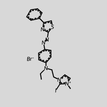 CCN(CCn1cc[n+](C)c1I)c1ccc(N=Nc2nc(-c3ccccc3)cs2)cc1.[Br-]